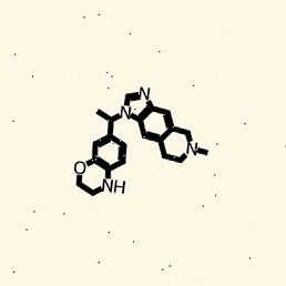 CC(c1ccc2c(c1)OCCN2)n1cnc2cc3c(cc21)CCN(C)C3